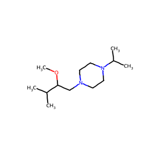 COC(CN1CCN(C(C)C)CC1)C(C)C